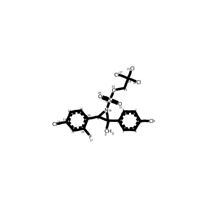 CC1(c2ccc(Cl)cc2)C(c2ccc(Cl)cc2F)N1S(=O)(=O)OCC(Cl)(Cl)Cl